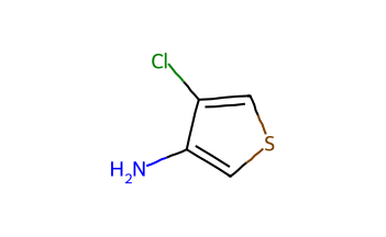 Nc1cscc1Cl